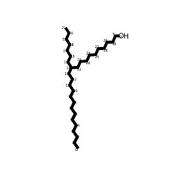 CCCCCCCCCCCCCCC(CCCCCCC)CCCCCCCCCCO